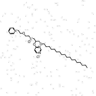 CCCCCCCCCCCCCCCCCCOCC(C[S+]([O-])CCOCC[n+]1ccccc1)Oc1ccncn1.[Cl-]